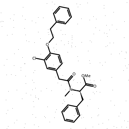 COC(=O)[C@@H](Cc1ccccc1)N(C)C(=O)Cc1ccc(OCCc2ccccc2)c(Cl)c1